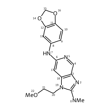 CNc1nc2cnc(Nc3ccc4c(c3)OCO4)cc2n1CCOC